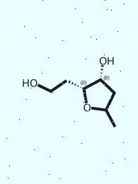 CC1C[C@@H](O)[C@@H](CCO)O1